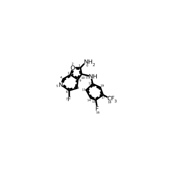 Nc1oc2cnc(F)cc2c1Nc1ccc(F)c(C(F)(F)F)c1